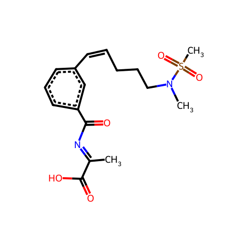 C/C(=N\C(=O)c1cccc(/C=C\CCCN(C)S(C)(=O)=O)c1)C(=O)O